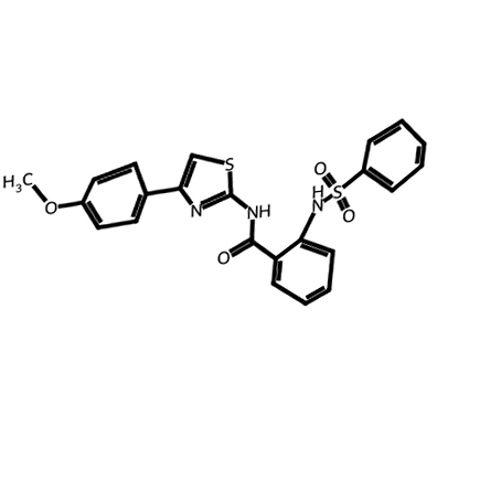 COc1ccc(-c2csc(NC(=O)c3ccccc3NS(=O)(=O)c3ccccc3)n2)cc1